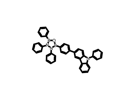 c1ccc(B2OB(c3ccc(-c4ccc5c(c4)c4ccccc4n5-c4ccccc4)cc3)N(c3ccccc3)N2c2ccccc2)cc1